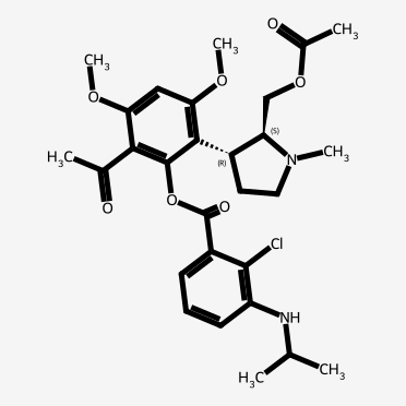 COc1cc(OC)c([C@H]2CCN(C)[C@@H]2COC(C)=O)c(OC(=O)c2cccc(NC(C)C)c2Cl)c1C(C)=O